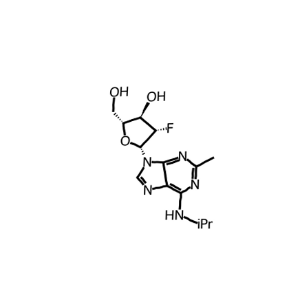 Cc1nc(NC(C)C)c2ncn([C@@H]3O[C@H](CO)[C@@H](O)[C@@H]3F)c2n1